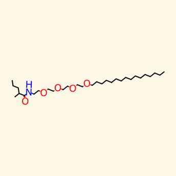 CCCCCCCCCCCCCCCCOCCOCCOCCOCCNC(=O)C(C)CCC